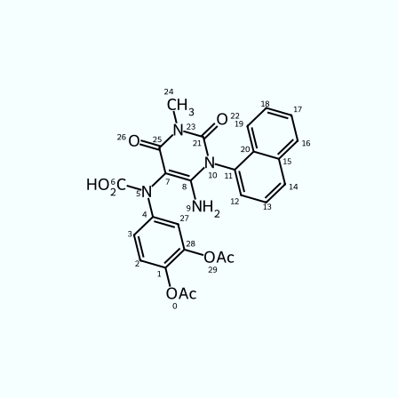 CC(=O)Oc1ccc(N(C(=O)O)c2c(N)n(-c3cccc4ccccc34)c(=O)n(C)c2=O)cc1OC(C)=O